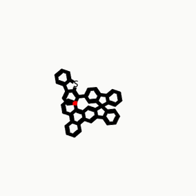 c1ccc2c(c1)-c1ccc(-c3cccc4c3sc3ccccc34)cc1C21c2ccccc2-c2cc3c4ccccc4c4ccccc4c3cc21